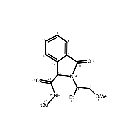 CCC(COC)N1C(=O)c2ccccc2C1C(=O)NC(C)(C)C